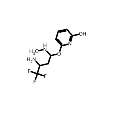 CNC(CC(N)C(F)(F)F)Oc1cccc(O)n1